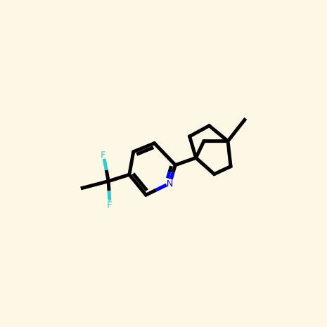 CC12CCC(c3ccc(C(C)(F)F)cn3)(CC1)C2